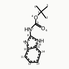 CC(C)(C)OC(=O)Nc1nc2[c]cccc2[nH]1